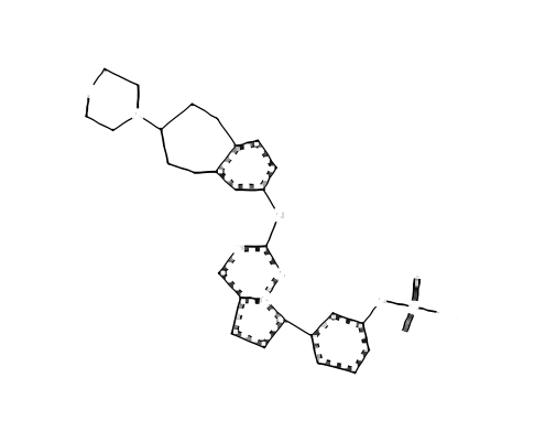 CS(=O)(=O)Nc1cccc(-c2ccc3cnc(Nc4ccc5c(c4)CCC(N4CCOCC4)CC5)nn23)c1